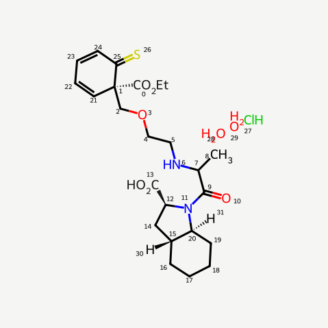 CCOC(=O)[C@]1(COCCNC(C)C(=O)N2[C@H](C(=O)O)C[C@H]3CCCC[C@@H]32)C=CC=CC1=S.Cl.O.O